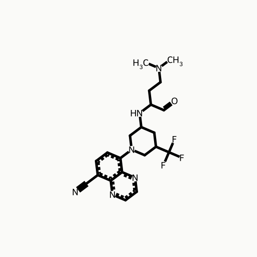 CN(C)CCC(C=O)NC1CC(C(F)(F)F)CN(c2ccc(C#N)c3nccnc23)C1